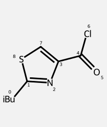 CCC(C)c1nc(C(=O)Cl)cs1